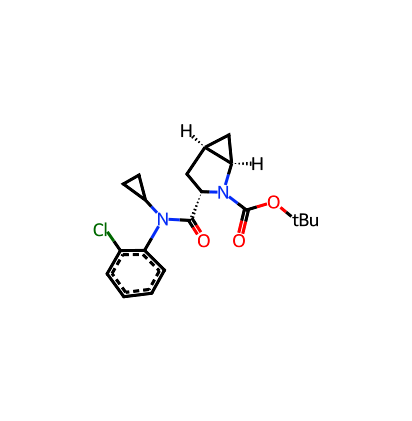 CC(C)(C)OC(=O)N1[C@@H]2C[C@@H]2C[C@H]1C(=O)N(c1ccccc1Cl)C1CC1